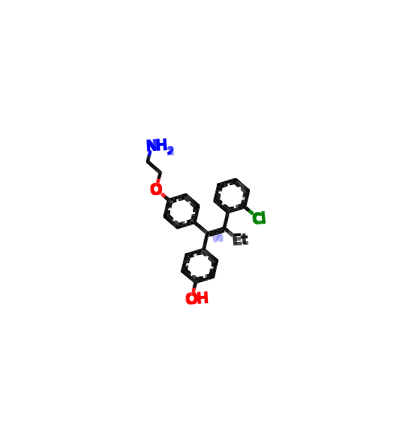 CC/C(=C(\c1ccc(O)cc1)c1ccc(OCCN)cc1)c1ccccc1Cl